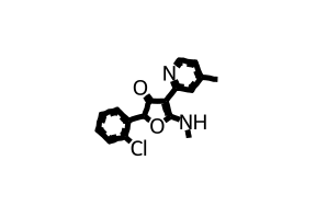 CNC1=C(c2cc(C)ccn2)C(=O)C(c2ccccc2Cl)O1